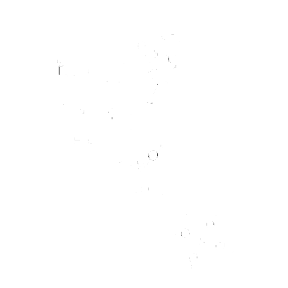 Cc1c(CC(=O)OCCCOS(C)(=O)=O)cc(-c2ccc(S(C)(=O)=O)cc2)n1-c1ccc(F)cc1